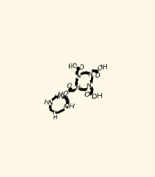 C1CNCCNCCNCCN1.O=C(O)CN1CCN(CC(=O)O)CCN(CC(=O)O)CCN(CC(=O)O)CC1